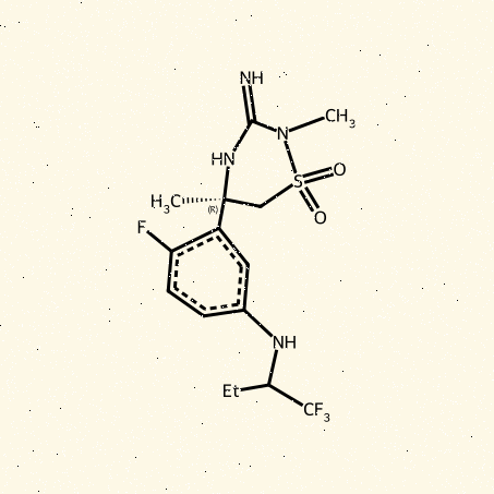 CCC(Nc1ccc(F)c([C@]2(C)CS(=O)(=O)N(C)C(=N)N2)c1)C(F)(F)F